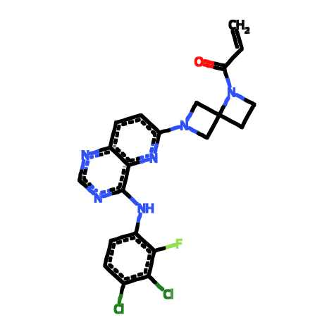 C=CC(=O)N1CCC12CN(c1ccc3ncnc(Nc4ccc(Cl)c(Cl)c4F)c3n1)C2